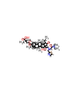 CC(C)C1=C2[C@H]3CC[C@@H]4[C@@]5(C)CC[C@H](OC(=O)CC(C)(C)C(=O)O)C(C)(C)[C@@H]5CC[C@@]4(C)[C@]3(C)CCC2(C(O)CN(CC(=O)N(C)C)Cc2nccs2)CC1=O